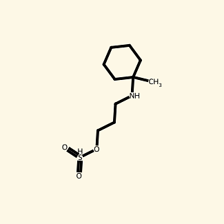 CC1(NCCCO[SH](=O)=O)CCCCC1